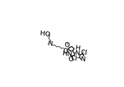 COc1ccc2c(Nc3c(Cl)cncc3Cl)cc(=O)[nH]c2c1OCCCCCCN(C)CCCO